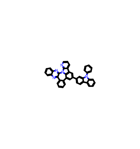 c1ccc(-n2c3ccccc3c3ccc(-c4cc5c6c(c4)c4cccnc4n6-c4nc6ccccc6nc4-c4ccccc4-5)cc32)cc1